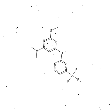 CSc1nc(Oc2cccc(C(F)(F)F)c2)cc(N(C)C)n1